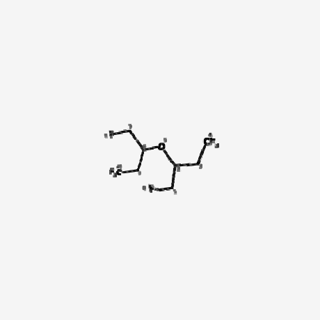 FCC(CC(F)(F)F)OC(CF)CC(F)(F)F